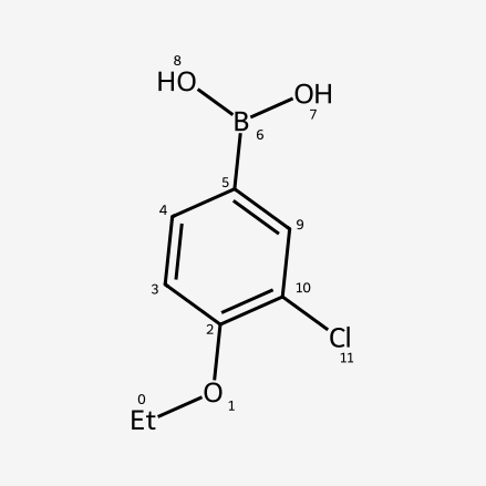 CCOc1ccc(B(O)O)cc1Cl